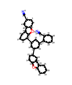 N#Cc1ccc2oc3c(-c4cc(-c5ccc6oc7ccccc7c6c5)cc(-c5ccccc5C#N)c4)cccc3c2c1